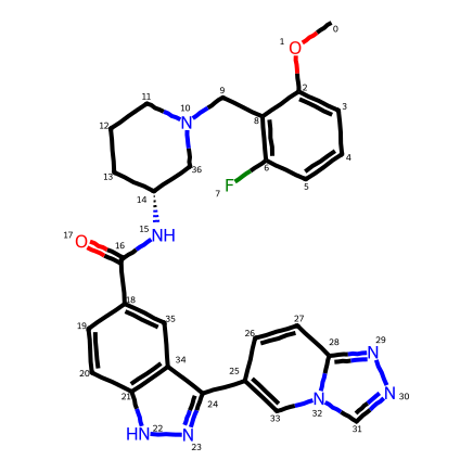 COc1cccc(F)c1CN1CCC[C@@H](NC(=O)c2ccc3[nH]nc(-c4ccc5nncn5c4)c3c2)C1